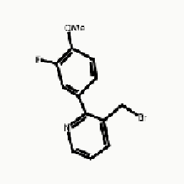 COc1ccc(-c2ncccc2CBr)cc1F